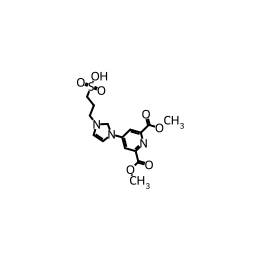 COC(=O)c1cc(N2C=CN(CCCS(=O)(=O)O)C2)cc(C(=O)OC)n1